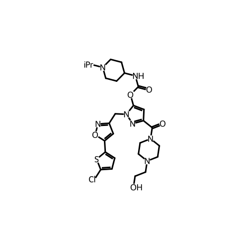 CC(C)N1CCC(NC(=O)Oc2cc(C(=O)N3CCN(CCO)CC3)nn2Cc2cc(-c3ccc(Cl)s3)on2)CC1